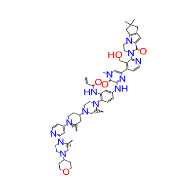 C=CC(=O)Nc1cc(Nc2nc(-c3ccnc(N4CCn5c(cc6c5CC(C)(C)C6)C4=O)c3CO)cn(C)c2=O)ccc1N1CCN(C2CCN(c3ccnc(N4CCN(C5CCOCC5)C[C@@H]4C)c3)[C@H](C)C2)C[C@@H]1C